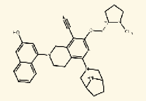 CN1CCC[C@H]1COc1nc(N2CC3CCC(C2)N3)c2c(c1C#N)CN(c1cc(O)cc3ccccc13)CC2